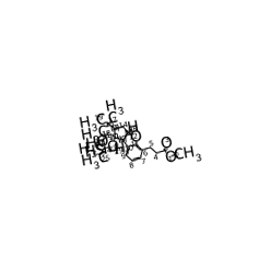 COC(=O)CCc1cccc2c1O[C@H]1C[C@H](C(C)(C)C)[C@](CO)(O[SiH](C)C)[C@@H]21